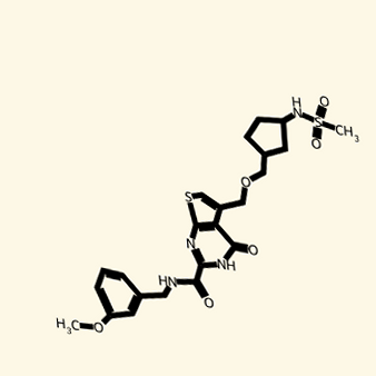 COc1cccc(CNC(=O)c2nc3scc(COCC4CCC(NS(C)(=O)=O)C4)c3c(=O)[nH]2)c1